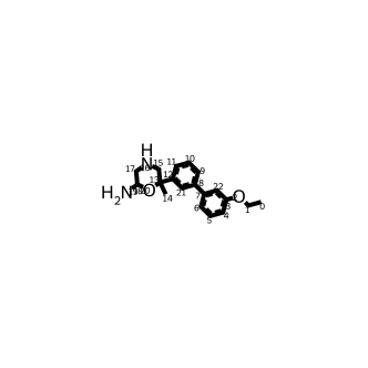 CCOc1cccc(-c2cccc(C3(C)CNCC(N)O3)c2)c1